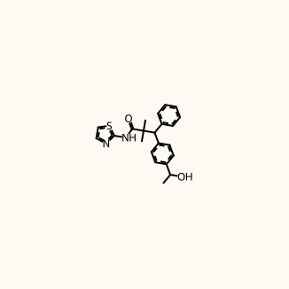 CC(O)c1ccc(C(c2ccccc2)C(C)(C)C(=O)Nc2nccs2)cc1